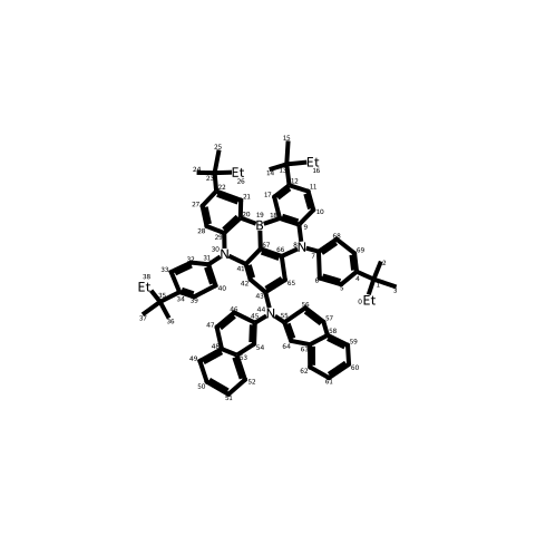 CCC(C)(C)c1ccc(N2c3ccc(C(C)(C)CC)cc3B3c4cc(C(C)(C)CC)ccc4N(c4ccc(C(C)(C)CC)cc4)c4cc(N(c5ccc6ccccc6c5)c5ccc6ccccc6c5)cc2c43)cc1